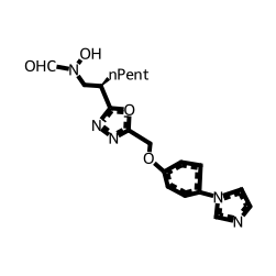 CCCCC[C@H](CN(O)C=O)c1nnc(COc2ccc(-n3ccnc3)cc2)o1